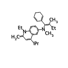 C=C1C=C(C(C)C)c2cc(N(C)/C(C3=CCCC=C3)=C(/C)CC)ccc2N1CC